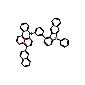 c1ccc(-c2ccccc2N(c2ccc(-c3ccc4ccccc4c3)cc2)c2cccc(-c3cccc4c3c3cc5ccccc5cc3n4-c3ccccc3)c2)cc1